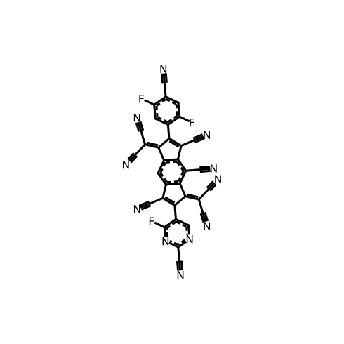 N#CC(C#N)=C1C(c2cc(F)c(C#N)cc2F)=C(C#N)c2c1cc1c(c2C#N)C(=C(C#N)C#N)C(c2cnc(C#N)nc2F)=C1C#N